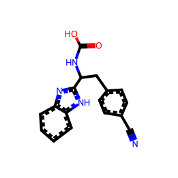 N#Cc1ccc(CC(NC(=O)O)c2nc3ccccc3[nH]2)cc1